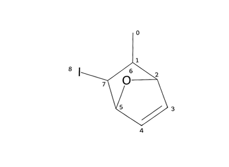 CC1C2C=CC(O2)C1I